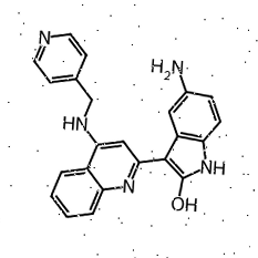 Nc1ccc2[nH]c(O)c(-c3cc(NCc4ccncc4)c4ccccc4n3)c2c1